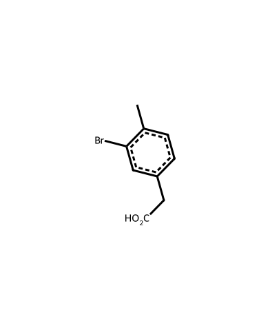 Cc1ccc(CC(=O)O)cc1Br